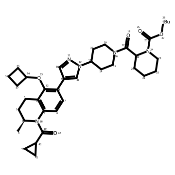 C[C@H]1CCc2c(ccc(-c3cnn(C4CCN(C(=O)C5CCCCN5C(=O)OC(C)(C)C)CC4)c3)c2OC2CCC2)N1C(=O)C1CC1